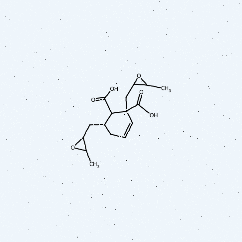 CC1OC1CC1CC=CC(CC2OC2C)(C(=O)O)C1C(=O)O